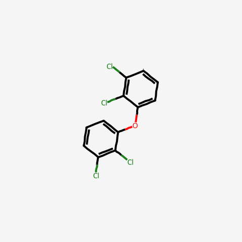 Clc1[c]ccc(Oc2cccc(Cl)c2Cl)c1Cl